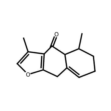 Cc1coc2c1C(=O)C1C(=CCCC1C)C2